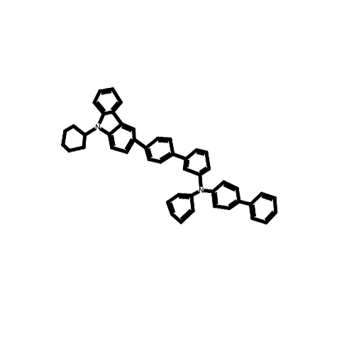 c1ccc(-c2ccc(N(c3ccccc3)c3cccc(-c4ccc(-c5ccc6c(c5)c5ccccc5n6C5CCCCC5)cc4)c3)cc2)cc1